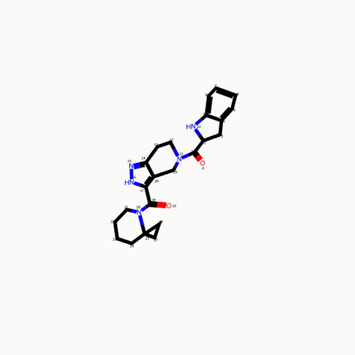 O=C(C1Cc2ccccc2N1)N1CCc2n[nH]c(C(=O)N3CCCCC34CC4)c2C1